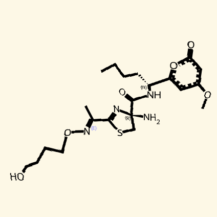 CCCC[C@@H](NC(=O)[C@]1(N)CSC(/C(C)=N/OCCCCO)=N1)c1cc(OC)cc(=O)o1